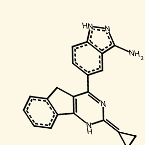 Nc1n[nH]c2ccc(C3=NC(=C4CC4)NC4=C3Cc3ccccc34)cc12